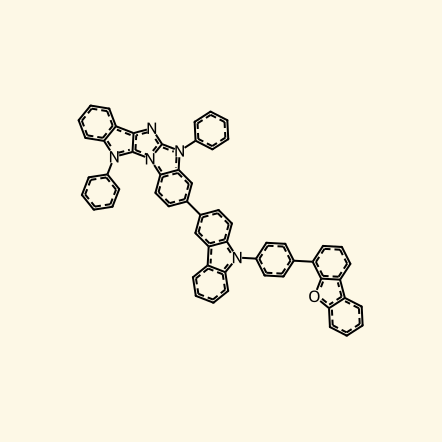 c1ccc(-n2c3cc(-c4ccc5c(c4)c4ccccc4n5-c4ccc(-c5cccc6c5oc5ccccc56)cc4)ccc3n3c2nc2c4ccccc4n(-c4ccccc4)c23)cc1